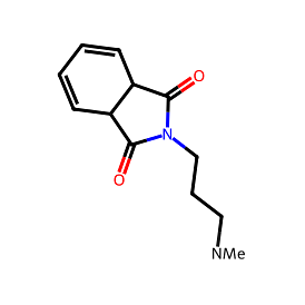 CNCCCN1C(=O)C2C=CC=CC2C1=O